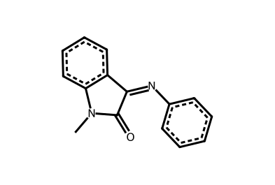 CN1C(=O)C(=Nc2ccccc2)c2ccccc21